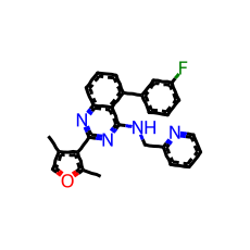 Cc1coc(C)c1-c1nc(NCc2ccccn2)c2c(-c3cccc(F)c3)cccc2n1